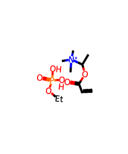 C=CC(=O)OC(C)[N+](C)(C)C.CCOP(=O)(O)O